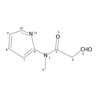 CN(C(=O)CC=O)c1ccccn1